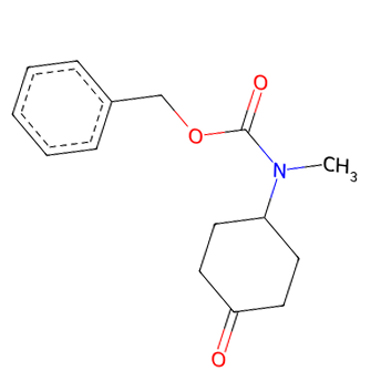 CN(C(=O)OCc1ccccc1)C1CCC(=O)CC1